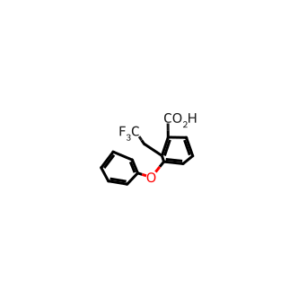 O=C(O)c1cccc(Oc2ccccc2)c1CC(F)(F)F